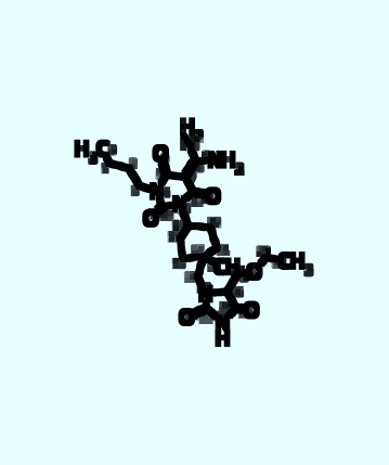 CCCCN1C(=O)C(=C(N)N)C(=O)N(C2CCC(C)(CN3C(=O)NC(=O)C3COCC)CC2)C1=O